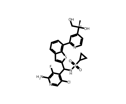 C[C@](O)(CO)c1ccnc(-c2cccc3cc(C(NS(=O)(=O)C4CC4)c4c(Cl)cnc(N)c4F)sc23)c1